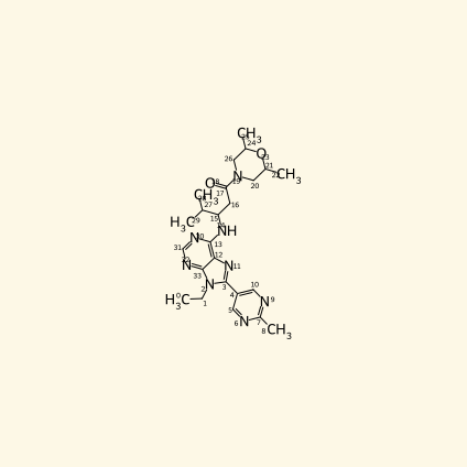 CCn1c(-c2cnc(C)nc2)nc2c(NC(CC(=O)N3CC(C)OC(C)C3)C(C)C)ncnc21